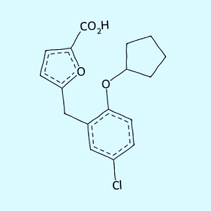 O=C(O)c1ccc(Cc2cc(Cl)ccc2OC2CCCC2)o1